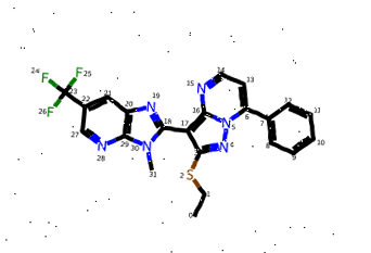 CCSc1nn2c(-c3ccccc3)ccnc2c1-c1nc2cc(C(F)(F)F)cnc2n1C